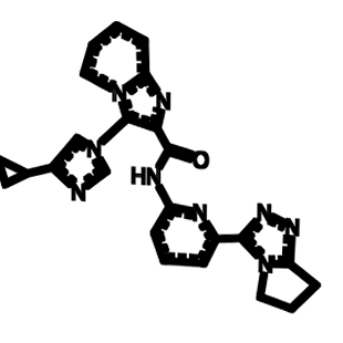 O=C(Nc1cccc(-c2nnc3n2CCC3)n1)c1nc2ccccn2c1-n1cnc(C2CC2)c1